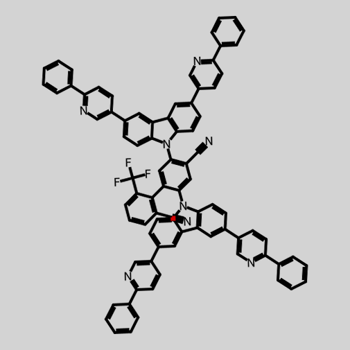 N#Cc1cc(-n2c3ccc(-c4ccc(-c5ccccc5)nc4)cc3c3cc(-c4ccc(-c5ccccc5)nc4)ccc32)c(-c2c(C#N)cccc2C(F)(F)F)cc1-n1c2ccc(-c3ccc(-c4ccccc4)nc3)cc2c2cc(-c3ccc(-c4ccccc4)nc3)ccc21